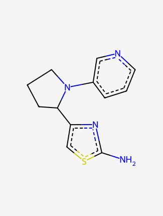 Nc1nc(C2CCCN2c2cccnc2)cs1